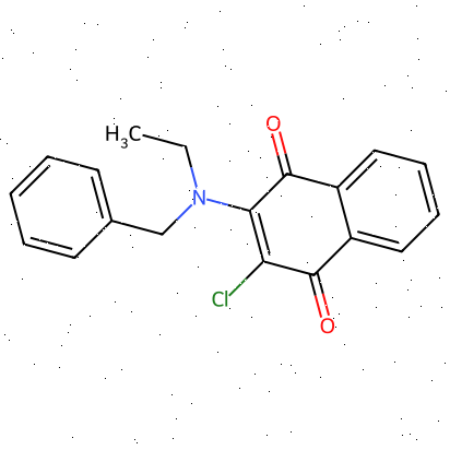 CCN(Cc1ccccc1)C1=C(Cl)C(=O)c2ccccc2C1=O